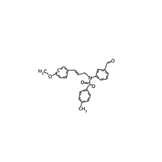 COc1ccc(C=CCN(c2cccc(C=O)c2)S(=O)(=O)c2ccc(C)cc2)cc1